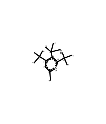 Cc1cc(C(C)(C)C)c(C(C)(C)C)c(C(C)(C)C)n1